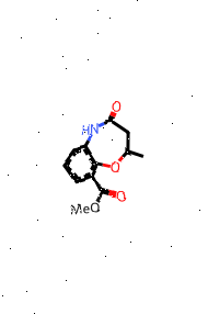 COC(=O)c1cccc2c1OC(C)CC(=O)N2